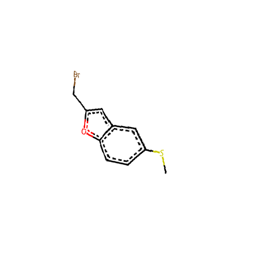 CSc1ccc2oc(CBr)cc2c1